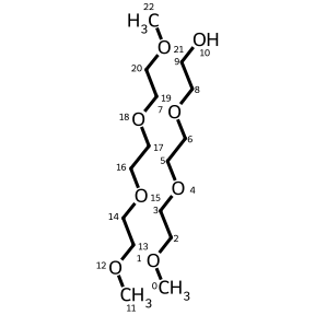 COCCOCCOCCO.COCCOCCOCCOC